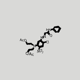 CC(=O)OCCN(CCOC(C)=O)c1cc(N=NCC(=O)Nc2ccccc2)c(Cl)cc1[N+](=O)[O-]